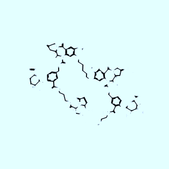 C=C1C[C@H]2C(O)N(C(=O)OCc3ccc(O[C@@H]4O[C@H](C(=O)O)[C@@H](O)[C@H](O)[C@H]4O)c(C(=O)NCCCNC(=O)[C@H](CN)N4C(=O)C=CC4O)c3)c3cc(OCCCCCOc4cc5c(cc4OC)C(=O)N4CC(=C)C[C@H]4C(O)N5C(=O)OCc4ccc(O[C@@H]5O[C@H](C(=O)O)[C@@H](O)[C@H](O)[C@H]5O)c(C(=O)NCCOC)c4)c(OC)cc3C(=O)N2C1